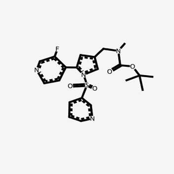 CN(Cc1cc(-c2ccncc2F)n(S(=O)(=O)c2cccnc2)c1)C(=O)OC(C)(C)C